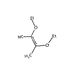 CCOC(C)=C(C#N)OCC